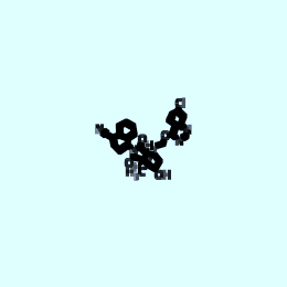 C[C@]12O[C@](CCOc3ncnc4cc(Cl)ccc34)(C[C@@H]1O)[C@H]1C(=O)N(c3ccc(C#N)c4ccccc34)C(=O)[C@H]12